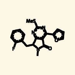 CSc1nc(-c2ccco2)c2c(n1)C(Cc1ccccc1F)N(C)C2=O